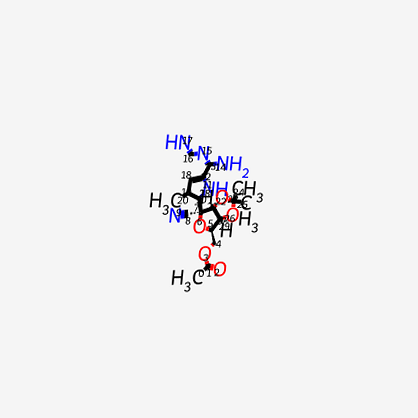 CC(=O)OC[C@H]1O[C@@](C#N)(C2NC(/C(N)=N\C=N)=CC2C)[C@@H]2OC(C)(C)O[C@@H]21